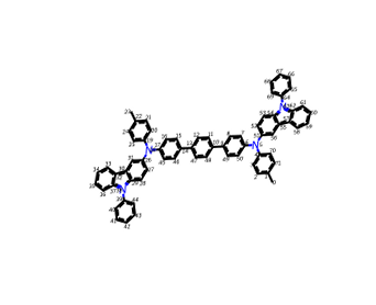 Cc1ccc(N(c2ccc(-c3ccc(-c4ccc(N(c5ccc(C)cc5)c5ccc6c(c5)c5ccccc5n6-c5ccccc5)cc4)cc3)cc2)c2ccc3c(c2)c2ccccc2n3-c2ccccc2)cc1